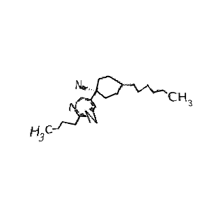 CCCCCC[C@H]1CC[C@@](C#N)(c2cnc(CCCC)nc2)CC1